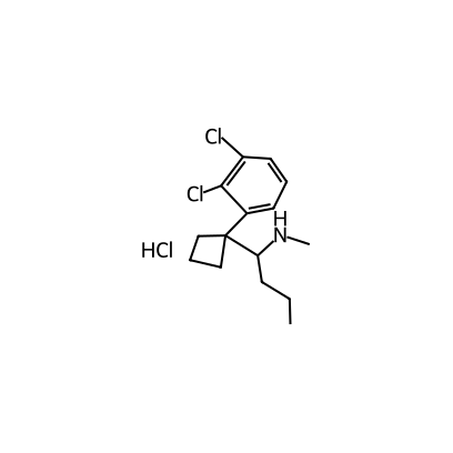 CCCC(NC)C1(c2cccc(Cl)c2Cl)CCC1.Cl